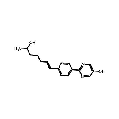 CC(O)CCC/C=C/c1ccc(-c2ncc(O)cn2)cc1